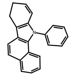 C1=Cc2c(c3ccc4ccccc4c3n2-c2ccccc2)CC1